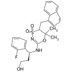 CC1(C)OC(N[C@@H](CCO)c2ccccc2F)=NS(=O)(=O)C1Cc1cccc2ccccc12